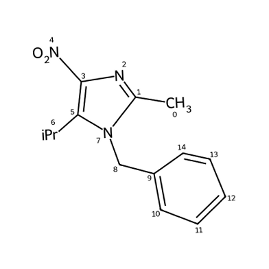 Cc1nc([N+](=O)[O-])c(C(C)C)n1Cc1ccccc1